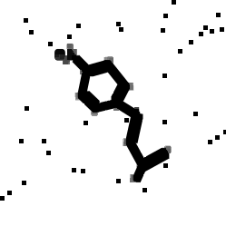 C=C(C)/C=C/c1ccc([N+](=O)[O-])cc1